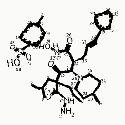 CCCC(CC(C)C)(C(=O)NN)C(=O)[C@@H]([C@H](C/C=C/c1ccccc1)C(=O)NO)N1CCC(C)CC1.Cc1ccc(S(=O)(=O)O)cc1